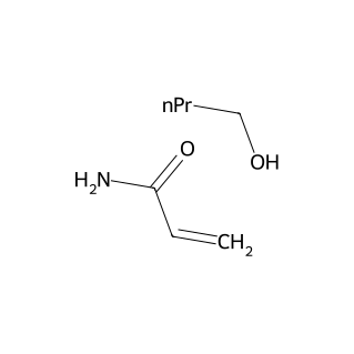 C=CC(N)=O.CCCCO